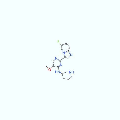 COc1cnc(-c2cnc3ccc(F)cn23)nc1N[C@@H]1CCCNC1